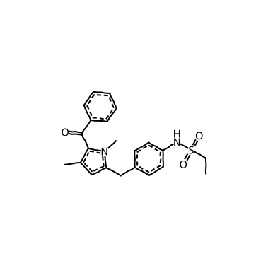 CCS(=O)(=O)Nc1ccc(Cc2cc(C)c(C(=O)c3ccccc3)n2C)cc1